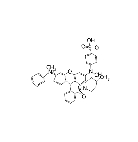 CC1CCN(S(=O)(=O)c2ccccc2C2c3ccc(N(C)c4ccc(S(=O)(=O)O)cc4)cc3OC3=C/C(=[N+](\C)c4ccccc4)C=CC32)CC1